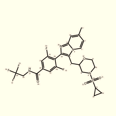 Cc1ccn2c(CC3CN(S(=O)(=O)C4CC4)CCO3)c(-c3c(F)cc(C(=O)NCC(F)(F)F)cc3F)nc2c1